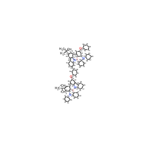 CC(C)(C)c1cc2c3c(c1)N(c1ccccc1)c1ccccc1B3n1c3ccccc3c3cc(Oc4cccc(-c5ccc6c7cc(C(C)(C)C)cc8c7n(c6c5)B5c6ccccc6N(c6ccccc6)c6cc(Oc7ccccc7)cc-8c65)c4)cc-2c31